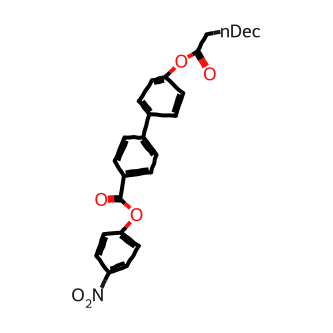 CCCCCCCCCCCC(=O)Oc1ccc(-c2ccc(C(=O)Oc3ccc([N+](=O)[O-])cc3)cc2)cc1